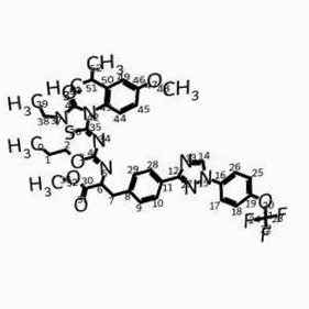 CCCOC(=N\C(Cc1ccc(-c2ncn(-c3ccc(OC(F)(F)F)cc3)n2)cc1)C(=O)OC)/N=c1\sn(CC)c(=O)n1-c1ccc(OC)cc1C(C)C